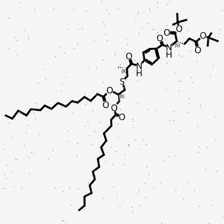 CCCCCCCCCCCCCCCC(=O)OC[C@H](CSC[C@H](C)C(=O)Nc1ccc(C(=O)N[C@@H](CCC(=O)OC(C)(C)C)C(=O)OC(C)(C)C)cc1)OC(=O)CCCCCCCCCCCCCCC